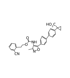 Cc1noc(-c2ccc(-c3ccc(C4(C(=O)O)CC4)cc3)cc2)c1NC(=O)OCCc1ccccc1C#N